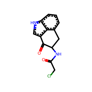 O=C(CCl)NC1Cc2cccc3[nH]cc(c23)C1=O